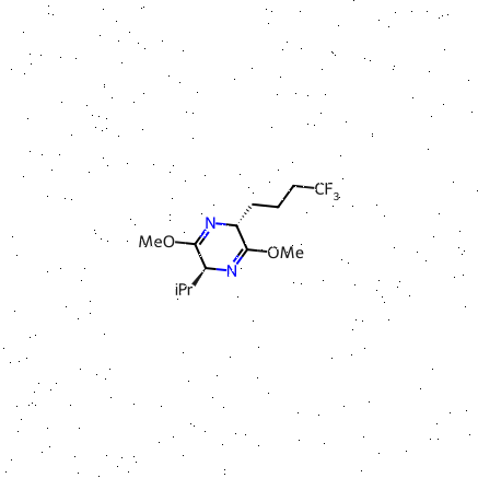 COC1=N[C@H](CCCC(F)(F)F)C(OC)=N[C@H]1C(C)C